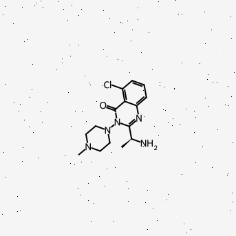 C[C@H](N)c1nc2cccc(Cl)c2c(=O)n1N1CCN(C)CC1